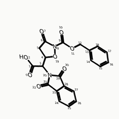 O=C(O)C(C1CC(=O)N(C(=O)OCc2ccccc2)O1)N1C(=O)c2ccccc2C1=O